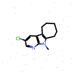 Cn1c2c(c3cc(Cl)cnc31)CCCCC2